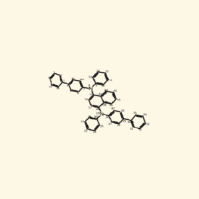 c1ccc(-c2ccc(N(c3ccccc3)c3ccc(N(c4ccccc4)c4ccc(-c5ccccc5)cc4)c4ccccc34)cc2)cc1